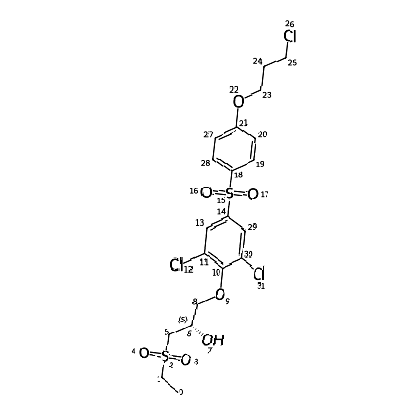 CCS(=O)(=O)C[C@@H](O)COc1c(Cl)cc(S(=O)(=O)c2ccc(OCCCCl)cc2)cc1Cl